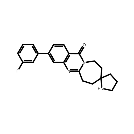 O=c1c2ccc(-c3cccc(F)c3)cc2nc2n1CCC1(CCCN1)CC2